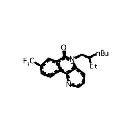 CCCCC(CC)Cn1c(=O)c2cc(C(F)(F)F)ccc2c2ncccc21